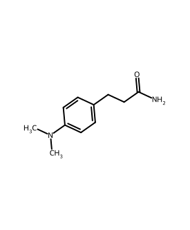 CN(C)c1ccc(CCC(N)=O)cc1